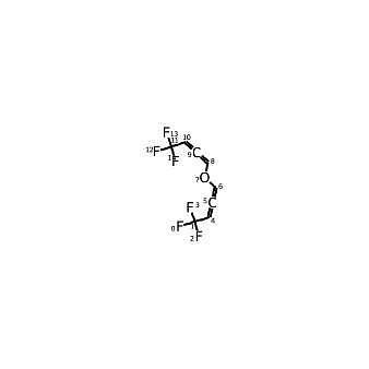 FC(F)(F)C=C=COC=C=CC(F)(F)F